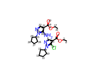 CCOC(=O)c1cnn(C2CCCC2)c1Cl.CCOC(=O)c1cnn(C2CCCC2)c1N